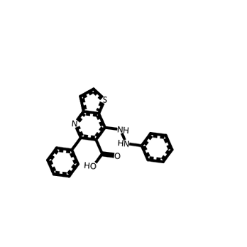 O=C(O)c1c(-c2ccccc2)nc2ccsc2c1NNc1ccccc1